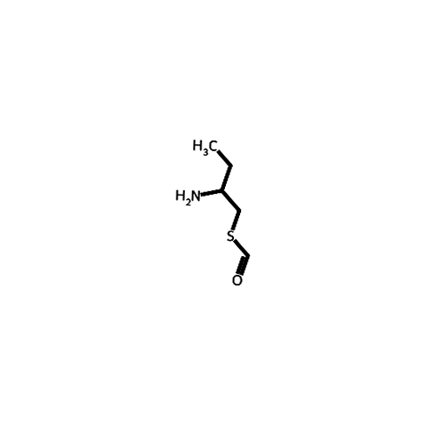 CCC(N)CSC=O